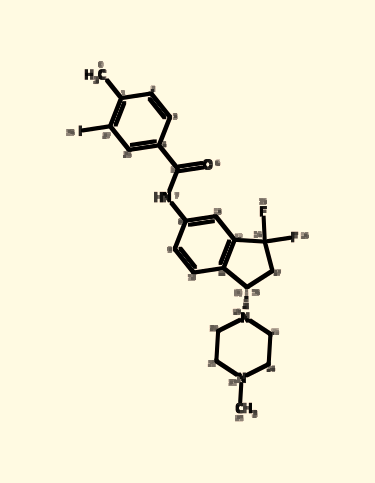 Cc1ccc(C(=O)Nc2ccc3c(c2)C(F)(F)C[C@@H]3N2CCN(C)CC2)cc1I